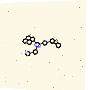 c1cncc(-c2cccc(-c3nc(-c4ccc(-c5ccc6sc7ccccc7c6c5)cc4)cc(-c4ccc5ccc6cccc7ccc4c5c67)n3)c2)c1